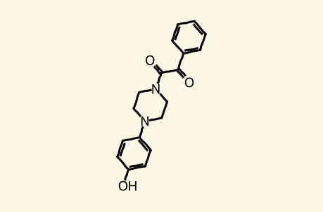 O=C(C(=O)N1CCN(c2ccc(O)cc2)CC1)c1ccccc1